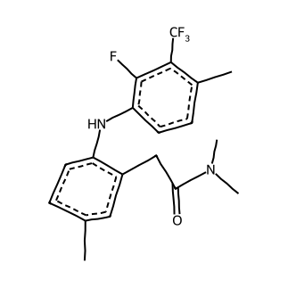 Cc1ccc(Nc2ccc(C)c(C(F)(F)F)c2F)c(CC(=O)N(C)C)c1